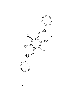 O=c1c(=O)c(=CNc2ccccc2)c(=O)c(=O)c1=CNc1ccccc1